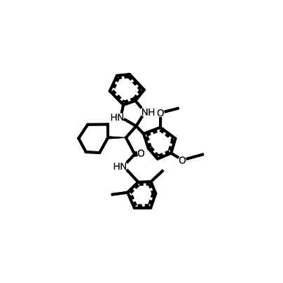 COc1ccc(C2([C@@H](C(=O)Nc3c(C)cccc3C)C3CCCCC3)Nc3ccccc3N2)c(OC)c1